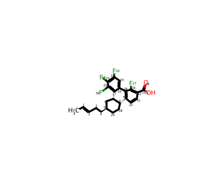 C/C=C/CC[C@H]1CC[C@H](c2ccc(C(=O)O)c(F)c2-c2cc(F)c(F)c(F)c2)CC1